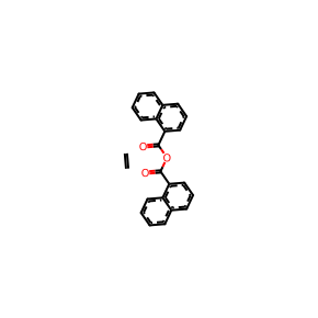 C=C.O=C(OC(=O)c1cccc2ccccc12)c1cccc2ccccc12